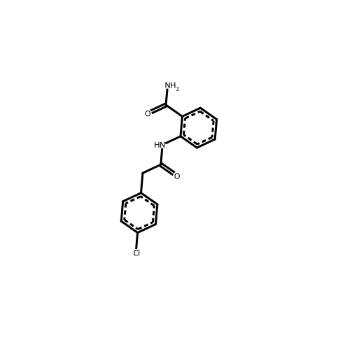 NC(=O)c1ccccc1NC(=O)Cc1ccc(Cl)cc1